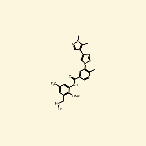 COc1c(CNC(C)C)cc(C(F)(F)F)cc1NC(=O)c1cnc(C)c(-n2cc(-c3cnn(C)c3C)nn2)c1